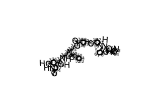 O=C(NC(c1ccccc1)c1cccc(OCc2ccc(C(=O)OCCCN(CCCNC[C@@H](O)c3ccc(O)c4[nH]c(=O)ccc34)C(=O)Cc3ccccc3)cc2)c1)O[C@H]1CN2CCC1CC2